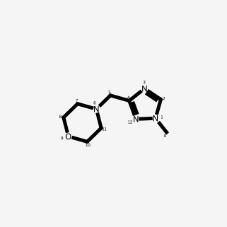 Cn1[c]nc(CN2CCOCC2)n1